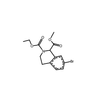 CCOC(=O)N1CCc2ccc(Br)cc2C1C(=O)OC